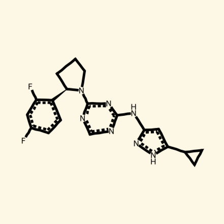 Fc1ccc([C@H]2CCCN2c2ncnc(Nc3cc(C4CC4)[nH]n3)n2)c(F)c1